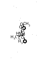 CCC(C)C(NC(=O)Cn1cccc(C(C)=O)c1=O)C(=O)OCc1ccccc1